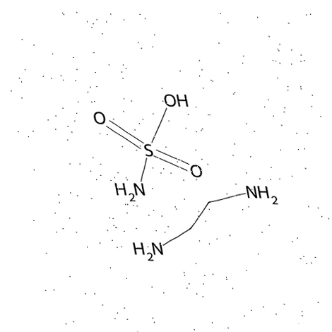 NCCN.NS(=O)(=O)O